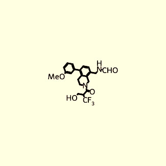 COc1cccc(-c2ccc(CNC=O)c3c2CCN(C(=O)C(CO)C(F)(F)F)C3)c1